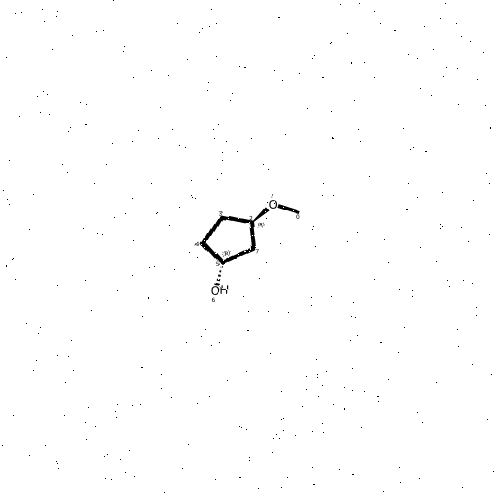 CO[C@@H]1CC[C@@H](O)C1